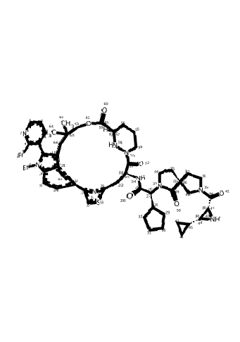 CCn1c(-c2cccnc2C(C)C)c2c3cc(ccc31)-c1csc(n1)C[C@H](NC(=O)[C@H](C1CCCC1)N1CC[C@]3(CCN(C(=O)[C@@H]4N[C@@H]4C4CC4)C3)C1=O)C(=O)N1CCC[C@H](N1)C(=O)OCC(C)(C)C2